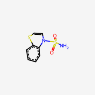 NS(=O)(=O)N1C=CSc2ccccc21